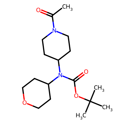 CC(=O)N1CCC(N(C(=O)OC(C)(C)C)C2CCOCC2)CC1